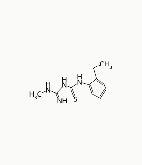 CCc1ccccc1NC(=S)NC(=N)NC